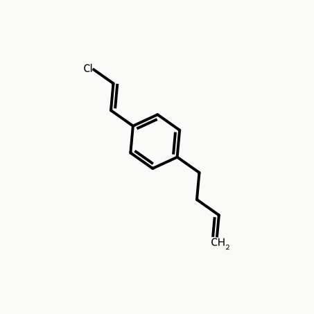 C=CCCc1ccc(C=CCl)cc1